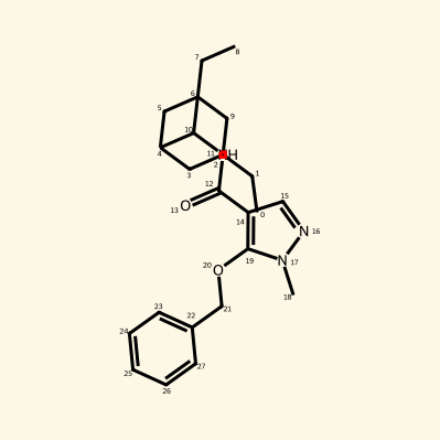 CCC1CC2CC(CC)(C1)C2NC(=O)c1cnn(C)c1OCc1ccccc1